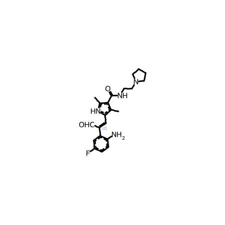 Cc1[nH]c(/C=C(\C=O)c2cc(F)ccc2N)c(C)c1C(=O)NCCN1CCCC1